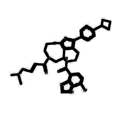 CN(C)C/C=C/C(=O)N1CCOc2nn(-c3ccc(C4CCC4)cc3)c3c2[C@@H](C1)N(C(=O)c1ccc(Br)c2[nH]cnc12)CC3